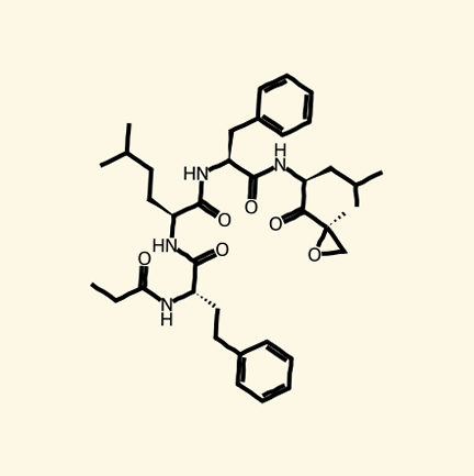 CCC(=O)N[C@@H](CCc1ccccc1)C(=O)N[C@@H](CCC(C)C)C(=O)N[C@@H](Cc1ccccc1)C(=O)N[C@@H](CC(C)C)C(=O)[C@@]1(C)CO1